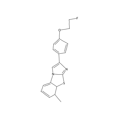 CC1C=CC=C2C1Sc1nc(-c3ccc(OCCF)cc3)cn12